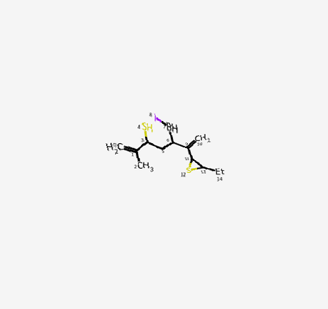 C=C(C)C(S)CC(BI)C(=C)C1SC1CC